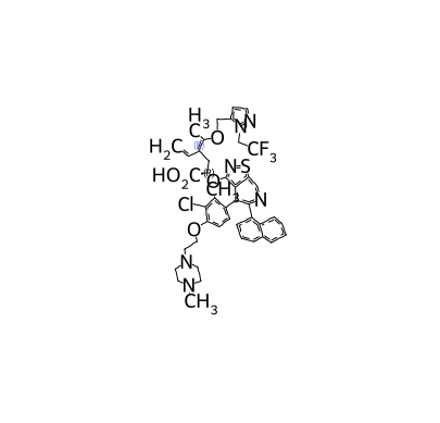 C=C/C(C[C@@H](Oc1nsc2cnc(-c3cccc4ccccc34)c(-c3ccc(OCCN4CCN(C)CC4)c(Cl)c3C)c12)C(=O)O)=C(\C)OCc1ccnn1CC(F)(F)F